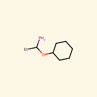 CCC(P)OC1CCCCC1